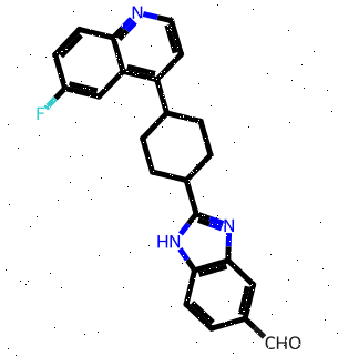 O=Cc1ccc2[nH]c(C3CCC(c4ccnc5ccc(F)cc45)CC3)nc2c1